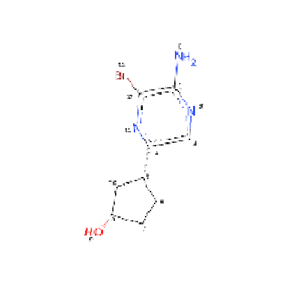 Nc1ncc([C@@H]2CC[C@H](O)C2)nc1Br